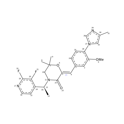 COc1cc(/C=C2\OC(C)(C)CN([C@@H](C)c3ccnc(F)c3F)C2=O)ccc1-n1cnc(C)c1